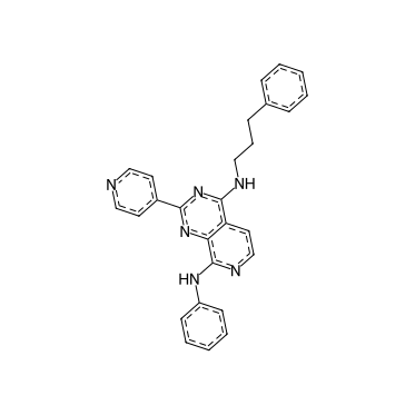 c1ccc(CCCNc2nc(-c3ccncc3)nc3c(Nc4ccccc4)nccc23)cc1